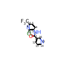 O=C(Nc1ccc(C(F)(F)F)nc1Cl)c1cccnc1